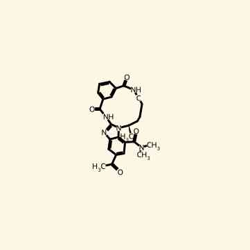 CC(=O)c1cc(C(=O)N(C)C)c2c(c1)nc1n2[C@H](C)CCCCNC(=O)c2cccc(c2)C(=O)N1